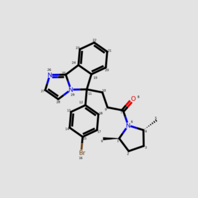 C[C@@H]1CC[C@@H](C)N1C(=O)CCC1(c2ccc(Br)cc2)c2ccccc2-c2nccn21